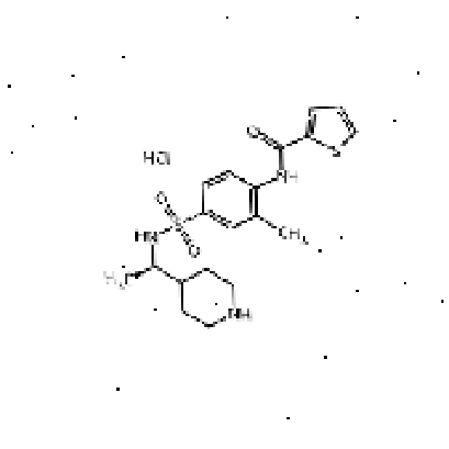 Cc1cc(S(=O)(=O)N[C@H](C)C2CCNCC2)ccc1NC(=O)c1cccs1.Cl